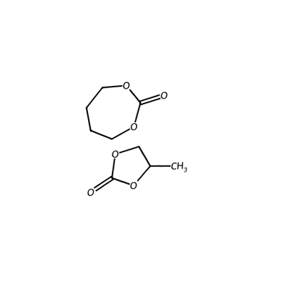 CC1COC(=O)O1.O=C1OCCCCO1